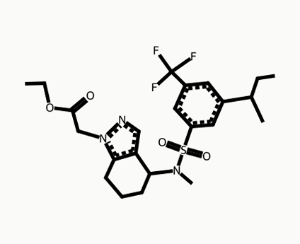 CCOC(=O)Cn1ncc2c1CCCC2N(C)S(=O)(=O)c1cc(C(C)CC)cc(C(F)(F)F)c1